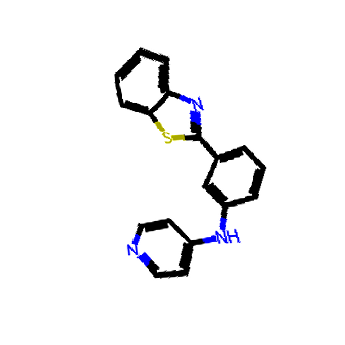 c1cc(Nc2ccncc2)cc(-c2nc3ccccc3s2)c1